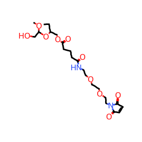 CCC(COC(=O)CCCC(=O)NCCOCCOCCN1C(=O)C=CC1=O)OC(CO)OC